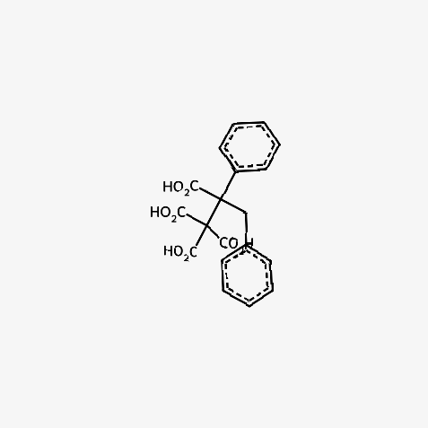 O=C(O)C(C(=O)O)(C(=O)O)C(Cc1ccccc1)(C(=O)O)c1ccccc1